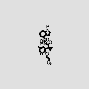 COCCOc1ncc(C)cc1C1(C(=O)NS(=O)(=O)c2cccc3[nH]ccc23)CC1